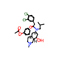 CC(=O)Oc1cccc([C@@]23CCN(C)C[C@H]2C(O)C[C@H](N(CC(C)C)C(=O)Cc2ccc(Cl)c(Cl)c2)C3)c1